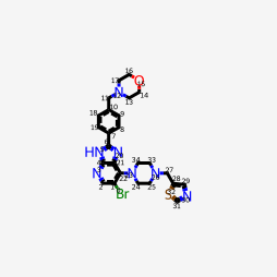 Brc1cnc2[nH]c(-c3ccc(CN4CCOCC4)cc3)nc2c1N1CCN(Cc2cncs2)CC1